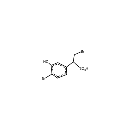 O=S(=O)(O)C(CBr)c1ccc(Br)c(O)c1